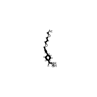 CC(=O)COCCCOCC#Cc1ccc([C@H](C)NS)cc1